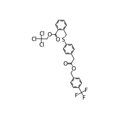 O=C(Cc1ccc(SCc2ccccc2C(=O)OCC(Cl)(Cl)Cl)cc1)OCc1ccc(C(F)(F)F)cc1